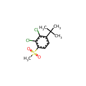 CC(C)(C)c1ccc(S(C)(=O)=O)c(Cl)c1Cl